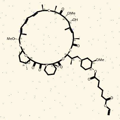 C=COC(=O)CCCCC(=O)O[C@@H]1CC[C@@H](C[C@@H](C)[C@@H]2CC(=O)[C@H](C)/C=C(\C)[C@@H](O)[C@@H](OC)C(=O)[C@H](C)C[C@H](C)/C=C/C=C/C=C(\C)[C@@H](OC)C[C@@H]3CC[C@@H](C)[C@@](O)(O3)C(=O)C(=O)N3CCCC[C@H]3C(=O)O2)C[C@H]1OC